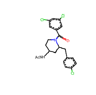 CC(=O)NC1CCN(C(=O)c2cc(Cl)cc(Cl)c2)C(Cc2ccc(Cl)cc2)C1